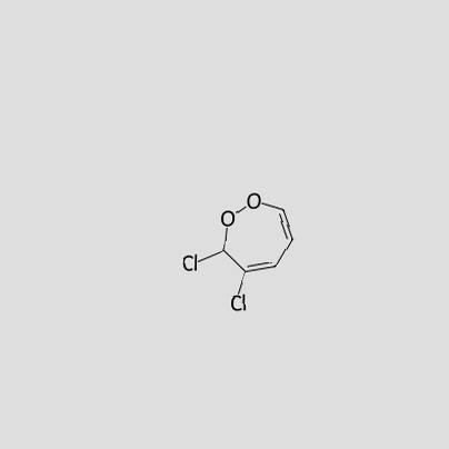 ClC1=CC=COOC1Cl